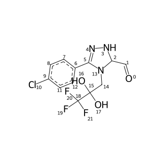 O=CC1NN=C(c2ccc(Cl)cc2)N1CC(O)(O)C(F)(F)F